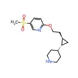 CS(=O)(=O)c1ccc(OCC[C@H]2C[C@@H]2C2CCNCC2)nc1